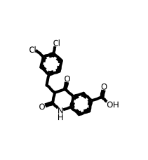 O=C(O)c1ccc2c(c1)C(=O)C(Cc1ccc(Cl)c(Cl)c1)C(=O)N2